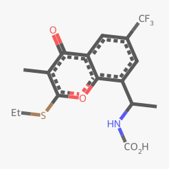 CCSc1oc2c(C(C)NC(=O)O)cc(C(F)(F)F)cc2c(=O)c1C